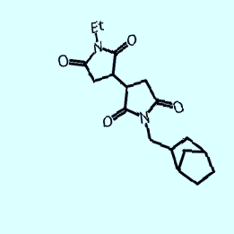 CCN1C(=O)CC(C2CC(=O)N(CC3CC4CCC3C4)C2=O)C1=O